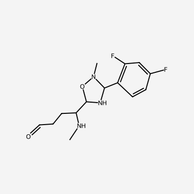 CNC(CCC=O)C1NC(c2ccc(F)cc2F)N(C)O1